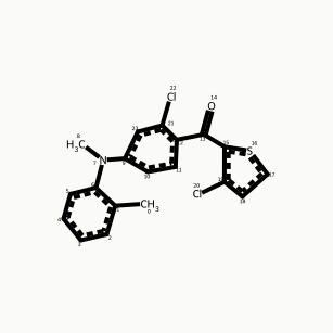 Cc1ccccc1N(C)c1ccc(C(=O)c2sccc2Cl)c(Cl)c1